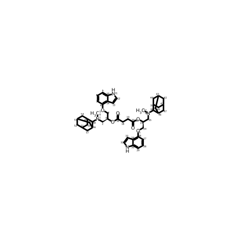 CN(C[C@@H](COc1cccc2[nH]ccc12)OC(=O)CCC(=O)O[C@H](COc1cccc2[nH]ccc12)CN(C)C1C2CC3CC(C2)CC1C3)C1C2CC3CC(C2)CC1C3